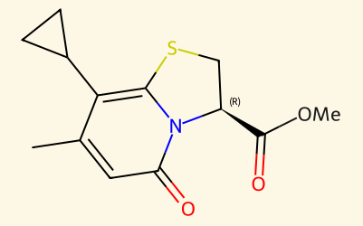 COC(=O)[C@@H]1CSc2c(C3CC3)c(C)cc(=O)n21